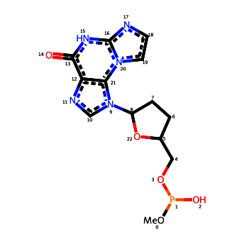 COP(O)OCC1CCC(n2cnc3c(=O)[nH]c4nccn4c32)O1